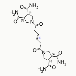 NC(=O)[C@@H]1CN(C(=O)C/C=C/CC(=O)N2C[C@@H](C(N)=O)[C@H](C(N)=O)C2)C[C@H]1C(N)=O